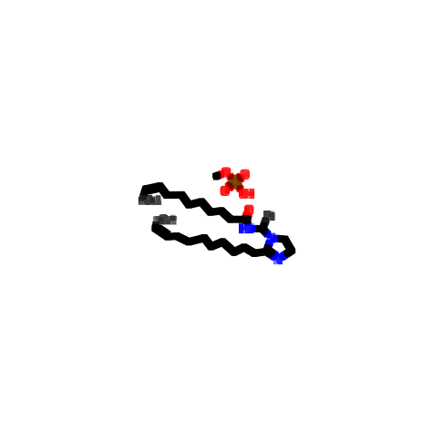 CCCCCCCC/C=C\CCCCCCCCC1=NCCN1C(CC)NC(=O)CCCCCCC/C=C\CCCCCCCC.COS(=O)(=O)O